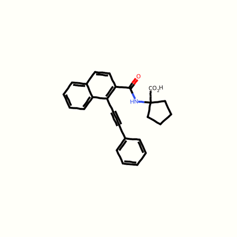 O=C(NC1(C(=O)O)CCCC1)c1ccc2ccccc2c1C#Cc1ccccc1